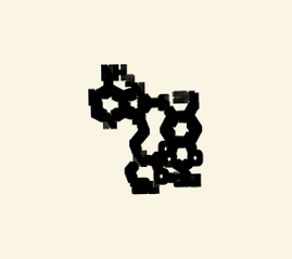 CC(C)(C)CN(CCn1c(Sc2cc3c(cc2[124I])OCO3)nc2c(N)ncnc21)C(=O)OC(C)(C)C